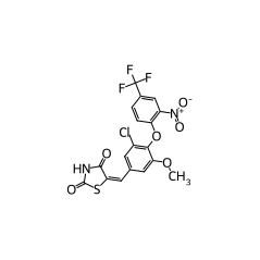 COc1cc(C=C2SC(=O)NC2=O)cc(Cl)c1Oc1ccc(C(F)(F)F)cc1[N+](=O)[O-]